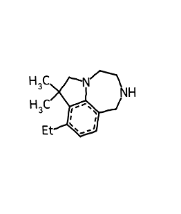 CCc1ccc2c3c1C(C)(C)CN3CCNC2